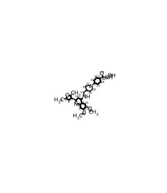 COc1cc2nc(-c3cc(C)oc3C)cc(NCC3CCN(c4ccc(C(=O)NO)cc4)CC3)c2cc1OC